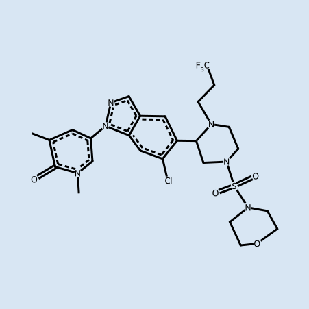 Cc1cc(-n2ncc3cc(C4CN(S(=O)(=O)N5CCOCC5)CCN4CCC(F)(F)F)c(Cl)cc32)cn(C)c1=O